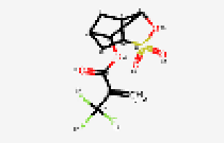 C=C(C(=O)OC1C2CC3C1OS(=O)(=O)C3C2)C(F)(F)F